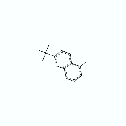 CC(C)(C)c1ccc2c(F)cccc2n1